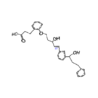 O=C(O)CCc1ccccc1OCCC(O)/C=C/c1cccc(C(O)CCc2ccccc2)c1